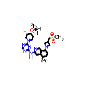 [2H]C([2H])([2H])O[C@@H]1CCN(c2ncnc(Nc3cc4c(C(C)C)ccc(N5CC(CS(C)(=O)=O)C5)c4cn3)n2)C[C@@H]1F